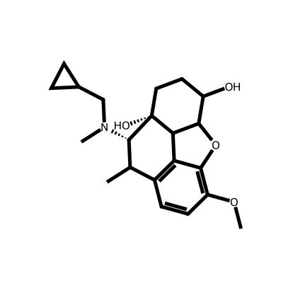 COc1ccc2c3c1OC1C(O)CC[C@@](O)(C31)[C@@H](N(C)CC1CC1)C2C